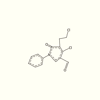 O=Cc1cn(-c2ccccc2)c(=O)c(CCCl)c1Cl